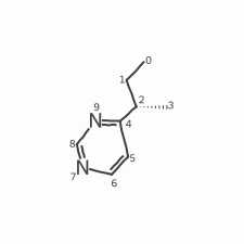 CC[C@H](C)c1ccncn1